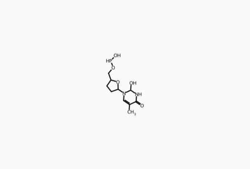 CC1=CN(C2CCC(COPO)O2)C(O)NC1=O